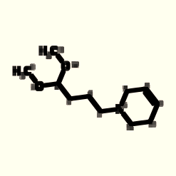 COC(CCCN1CC=CCC1)OC